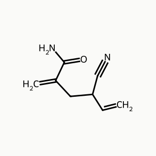 C=CC(C#N)CC(=C)C(N)=O